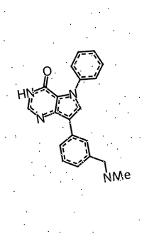 CNCc1cccc(-c2cn(-c3ccccc3)c3c(=O)[nH]cnc23)c1